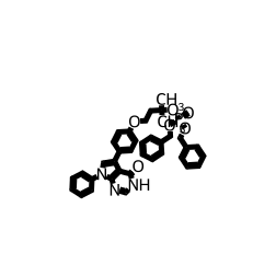 CC(C)(CCOc1ccc(-c2cn(-c3ccccc3)c3nc[nH]c(=O)c23)cc1)OP(=O)(OCc1ccccc1)OCc1ccccc1